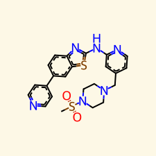 CS(=O)(=O)N1CCN(Cc2ccnc(Nc3nc4ccc(-c5ccncc5)cc4s3)c2)CC1